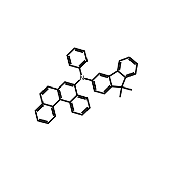 CC1(C)c2ccccc2-c2cc(N(c3ccccc3)c3cc4ccc5ccccc5c4c4ccccc34)ccc21